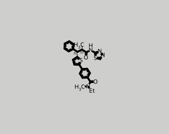 CCN(C)C(=O)c1ccc(-c2ccc([C@H](c3ccccc3)[C@H](C)C(=O)Nc3nncs3)s2)cc1